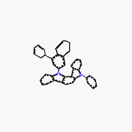 C1=CCC(c2cc(-n3c4ccccc4c4ccc5c(c6ccccc6n5-c5ccccc5)c43)cc3c2C=CCC3)C=C1